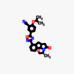 CC(C)Oc1ccc(-c2nc(-c3cccc4c3CC3CC(=O)N5[C@H](C)COC435)no2)cc1C#N